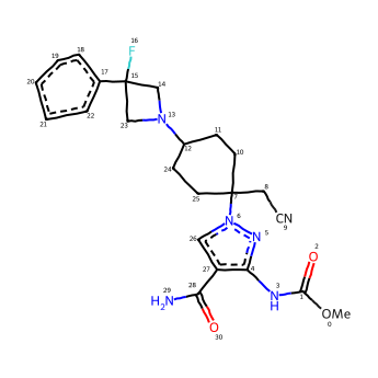 COC(=O)Nc1nn(C2(CC#N)CCC(N3CC(F)(c4ccccc4)C3)CC2)cc1C(N)=O